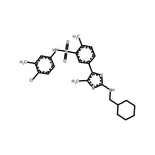 Cc1cc(NS(=O)(=O)c2cc(-c3sc(NCC4CCCCC4)nc3C)ccc2C)ccc1Cl